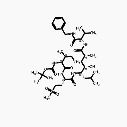 CC[C@H](C)[C@H](NC(=O)OC(C)(C)C)C(=O)N[C@@H](CCS(C)(=O)=O)C(=O)N[C@@H](CC(C)C)[C@@H](O)C[C@@H](C)C(=O)N[C@H](C(=O)NCc1ccccc1)C(C)C